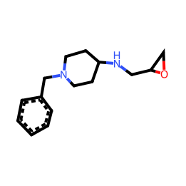 c1ccc(CN2CCC(NCC3CO3)CC2)cc1